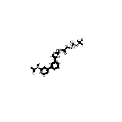 CC(=O)N(C)c1cc(-c2cccc(-c3csc(NC(=O)CNC(=O)OC(C)(C)C)n3)c2)ccn1